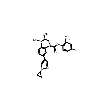 CC(=O)N1c2ccc(-c3cnn(C4CC4)c3)cc2N(C(=O)Oc2ccc(Cl)cc2C)C[C@@H]1C